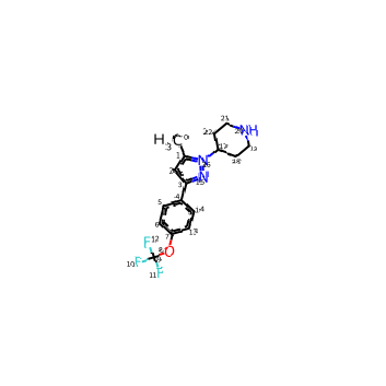 Cc1cc(-c2ccc(OC(F)(F)F)cc2)nn1C1CCNCC1